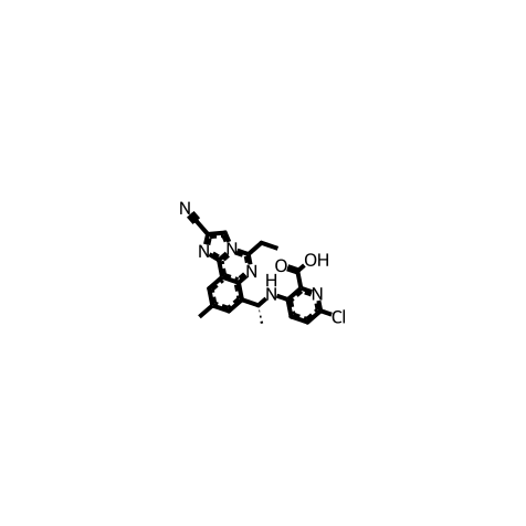 CCc1nc2c([C@@H](C)Nc3ccc(Cl)nc3C(=O)O)cc(C)cc2c2nc(C#N)cn12